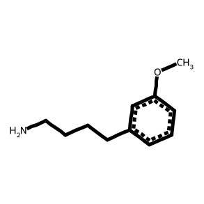 COc1cccc(CCCCN)c1